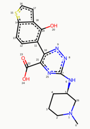 CN1CCC[C@@H](Nc2nnc(-c3ccc4sccc4c3O)c(C(=O)O)n2)C1